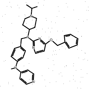 CC(C)N1CCC(N(Cc2ccc(N(C)c3ccncc3)cc2)c2nccc(OCc3ccccc3)n2)CC1